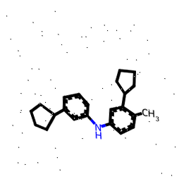 Cc1ccc(Nc2cccc(C3CCCC3)c2)cc1C1CCCC1